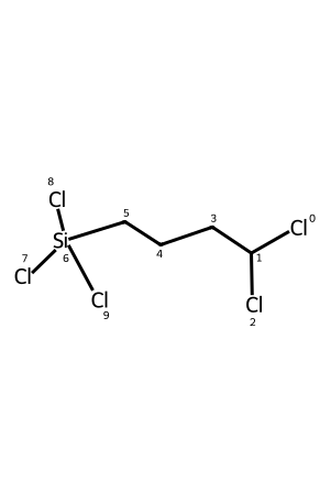 ClC(Cl)CCC[Si](Cl)(Cl)Cl